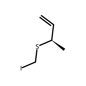 C=C[C@@H](C)SCI